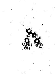 CCS(=O)(=O)c1ccc(-n2cc(-c3ncncc3OC[C@H]3CC[C@@H](NC(=O)O)CC3)cn2)c(F)c1